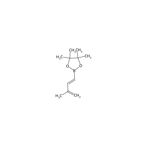 C=C(C)C=CB1OC(C)(C)C(C)(C)O1